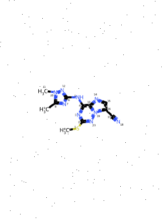 CSc1nc(Nc2nc(C)n(C)n2)c2ncc(C#N)n2n1